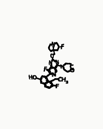 CCc1c(F)ccc2cc(O)cc(-c3ncc4c(N5CCCOCC5)nc(OC[C@@]56CCCN5C[C@H](F)C6)nc4c3F)c12